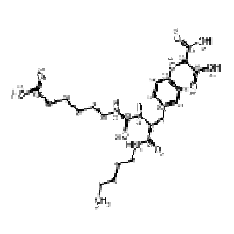 CCCCCNC(=O)C(Cc1ccc(OC(C(=O)O)C(=O)O)cc1)NC(=O)NCCCCCC(=O)O